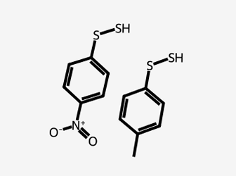 Cc1ccc(SS)cc1.O=[N+]([O-])c1ccc(SS)cc1